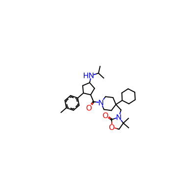 Cc1ccc(C2CC(NC(C)C)CC2C(=O)N2CCC(CN3C(=O)OCC3(C)C)(C3CCCCC3)CC2)cc1